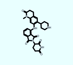 CN1C(=O)CCc2cc(C3CCNCC3)c(Nc3cccc4c3C(=O)N(C3CCC(=O)NC3=O)C4=O)cc21